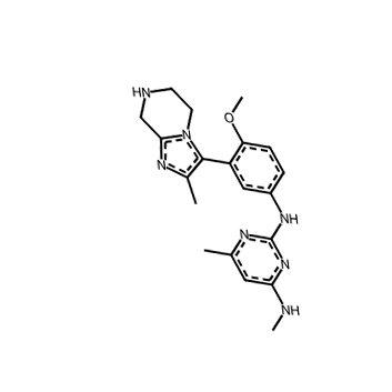 CNc1cc(C)nc(Nc2ccc(OC)c(-c3c(C)nc4n3CCNC4)c2)n1